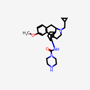 COc1ccc2c(c1)C13CCN(CC4CC4)C(C2)C12CCC(NC(=O)N1CCNCC1)C3CC2